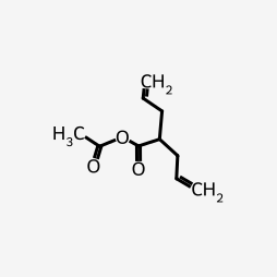 C=CCC(CC=C)C(=O)OC(C)=O